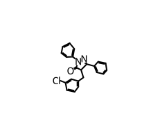 O=C1C(Cc2cccc(Cl)c2)C(c2ccccc2)=NN1c1ccccc1